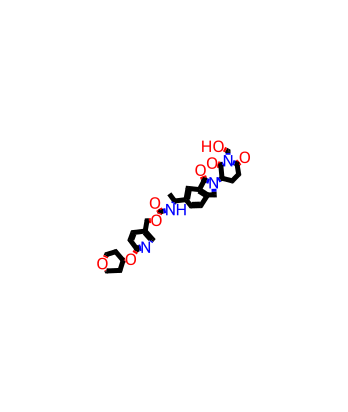 CC(NC(=O)OCc1ccc(OC2CCOCC2)nc1)c1ccc2c(c1)C(=O)N(C1CCC(=O)N(CO)C1=O)C2